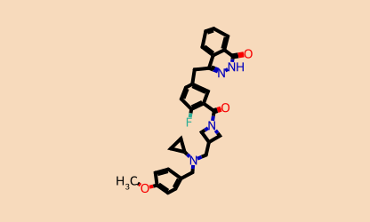 COc1ccc(CN(CC2CN(C(=O)c3cc(Cc4n[nH]c(=O)c5ccccc45)ccc3F)C2)C2CC2)cc1